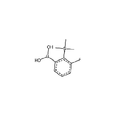 C[Si](C)(C)c1c(F)cccc1B(O)O